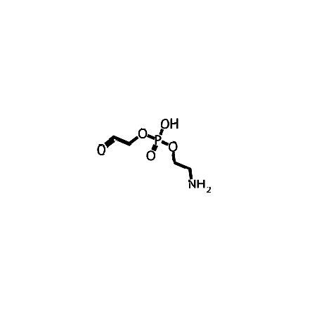 NCCOP(=O)(O)OCC=O